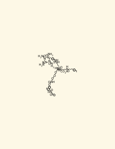 NC(=O)CN1CCN(CC(N)=O)CCN(CC(N)=O)C(Cc2ccc(NC(=S)NCCCC[C@H](NC(=O)CCOCCOCCOCCNC(=O)COc3ccc4c(C(=O)NCC(=O)N5CCCC5)ccnc4c3)C(=O)N[C@@H](CCCCNC(=O)CCCc3ccc(I)cc3)C(=O)O)cc2)CN(CC(N)=O)CC1